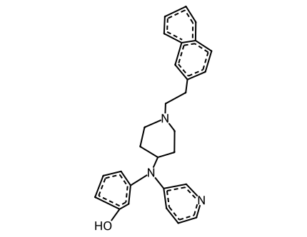 Oc1cccc(N(c2cccnc2)C2CCN(CCc3ccc4ccccc4c3)CC2)c1